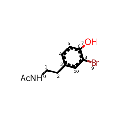 CC(=O)NCCc1ccc(O)c(Br)c1